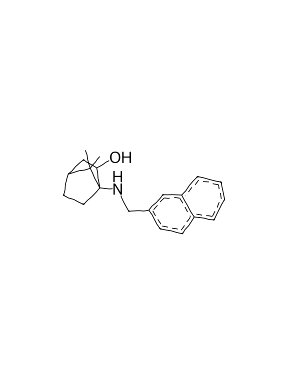 CC1(C)C2CCC1(NCc1ccc3ccccc3c1)C(O)C2